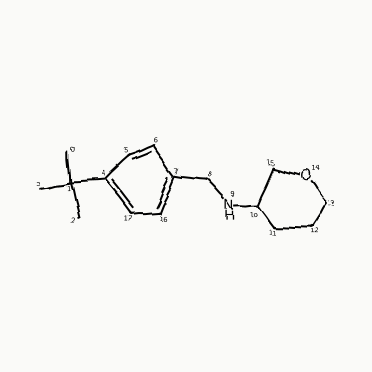 CC(C)(C)c1ccc(CNC2CCCOC2)cc1